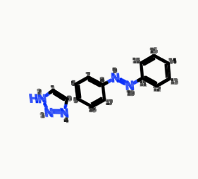 c1c[nH]nn1.c1ccc(N=Nc2ccccc2)cc1